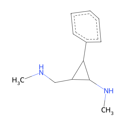 CNCC1C(NC)C1c1ccccc1